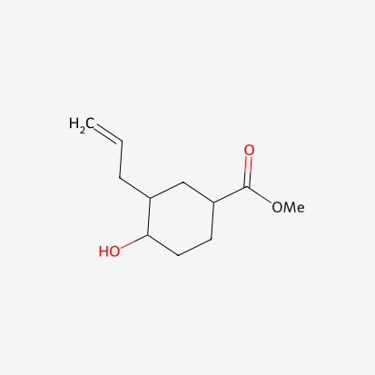 C=CCC1CC(C(=O)OC)CCC1O